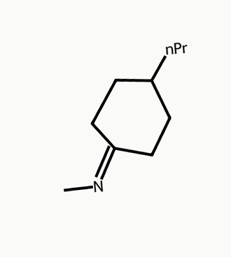 CCCC1CCC(=NC)CC1